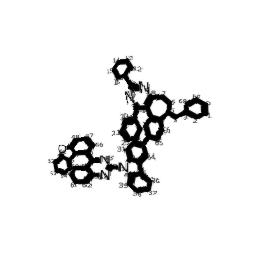 c1ccc(CC2CCc3nc(-c4ccccc4)nc(-c4ccccc4)c3-c3cc(-c4ccc5c(c4)c4ccccc4n5-c4nc(-c5cccc6oc7ccccc7c56)c5ccccc5n4)ccc32)cc1